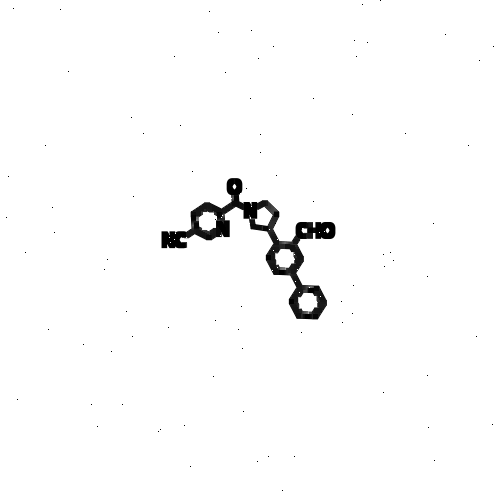 N#Cc1ccc(C(=O)N2CCC(c3ccc(-c4ccccc4)cc3C=O)C2)nc1